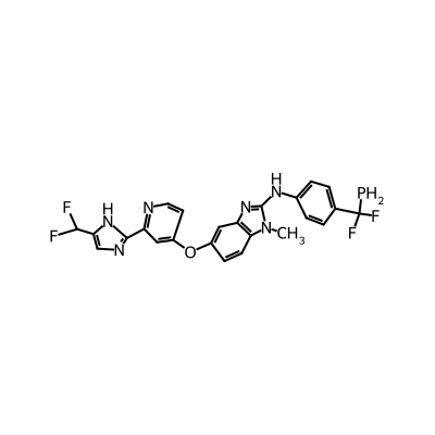 Cn1c(Nc2ccc(C(F)(F)P)cc2)nc2cc(Oc3ccnc(-c4ncc(C(F)F)[nH]4)c3)ccc21